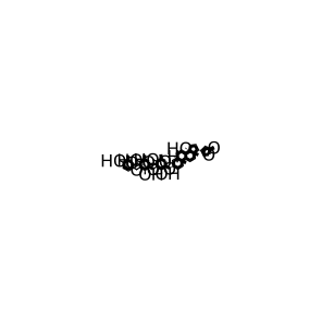 CC1O[C@@H](O[C@@H]2[C@H](O)C(O[C@@H]3[C@H](O)C(O[C@H]4CCC5(C)C6CCC7(C)[C@@H](C8=CC(=O)OC8)CC[C@]7(O)C6CC[C@@H]5C4)OC(C)[C@@H]3O)OC(C)[C@@H]2O)C=C[C@H]1O